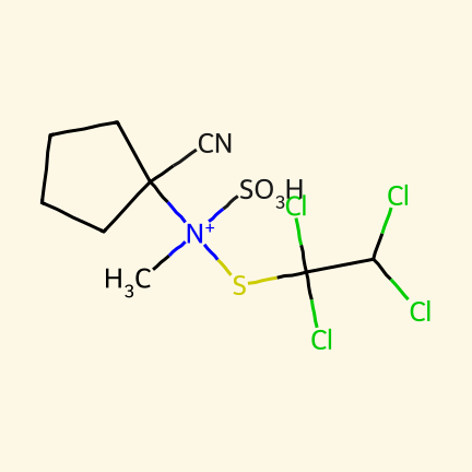 C[N+](SC(Cl)(Cl)C(Cl)Cl)(C1(C#N)CCCC1)S(=O)(=O)O